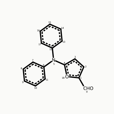 O=Cc1ccc(N(c2ccccc2)c2ccccc2)o1